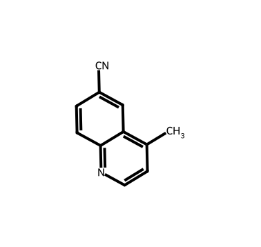 Cc1ccnc2ccc(C#N)cc12